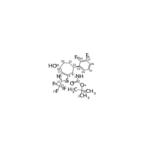 CC(C)(C)OC(=O)N[C@@H]1c2sc(C(F)(F)F)nc2[C@H](O)CC[C@H]1c1cccc(F)c1F